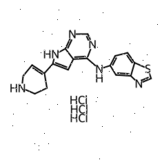 C1=C(c2cc3c(Nc4ccc5scnc5c4)ncnc3[nH]2)CCNC1.Cl.Cl.Cl